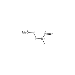 C=NN(C)CCOC